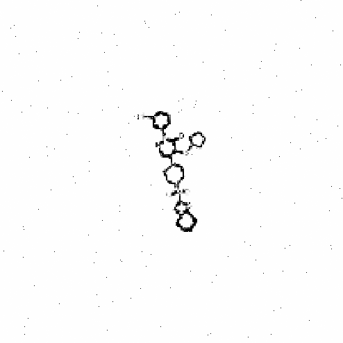 O=c1c(OC2CCCC2)c(N2CCN(S(=O)(=O)c3cc4ccccc4s3)CC2)cnn1-c1cccc(Cl)c1